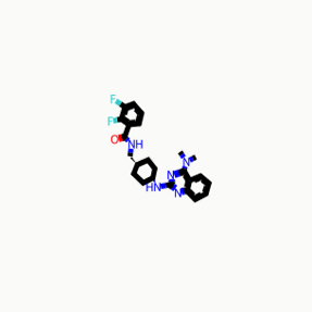 CN(C)c1nc(N[C@H]2CC[C@@H](CNC(=O)c3cccc(F)c3F)CC2)nc2ccccc12